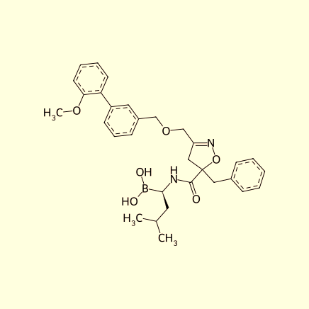 COc1ccccc1-c1cccc(COCC2=NOC(Cc3ccccc3)(C(=O)N[C@@H](CC(C)C)B(O)O)C2)c1